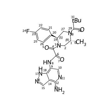 C[C@@H]1CN(C(=O)C(=O)Nc2cnc(N)c3cn[nH]c23)[C@@H](c2ccc(F)cc2)CN1C(=O)C(C)(C)C